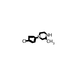 CC1CN(c2ccc(Cl)cc2)CCN1